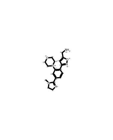 CN1CCN=C1c1ccc(-c2cc(CN)on2)c(N2CCOCC2)c1